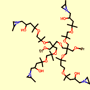 CCOCC(COCC(COC(C)C)(COC(C)(C)CCOC(C)(C)CC(O)CN1CC1C)COC(C)(C)COC(C)(C)CC(O)CN1CC1C)(COC(C)(C)COC(C)(C)CC(O)CN1CC1C)COC(C)(C)COC(C)(C)CC(O)CN1CC1C